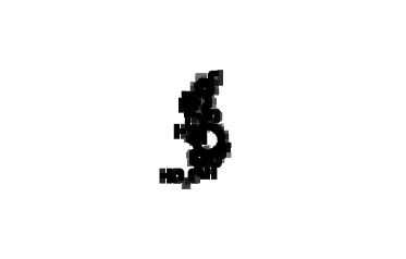 O=C(O)Nc1ccc2c(c1)C(=O)C(F)(F)CCCC[C@H](NC(=O)/C=C/c1cc(Cl)ccc1-n1cnnn1)c1nc-2c[nH]1